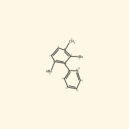 CCCCc1ccc(C)c(CCCC)c1-c1ccccn1